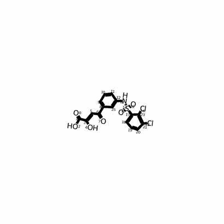 O=C(O)C(O)=CC(=O)c1cccc(NS(=O)(=O)c2cccc(Cl)c2Cl)c1